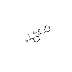 Nc1c(C(=O)Cc2ccccc2)cccc1S(=O)O